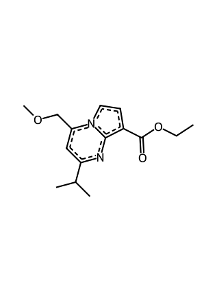 CCOC(=O)c1ccn2c(COC)cc(C(C)C)nc12